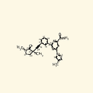 Cc1cnn(-c2cc(C(N)=O)nc(-c3cccc(C#C[C@]4(C)CCN(C)C4=O)c3)n2)c1